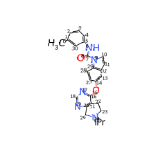 Cc1cccc(NC(=O)n2ccc3cc(Oc4ncnc5c4CCN(C(C)C)C5)ccc32)c1